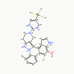 COc1c(F)c2c3cccc(C)c3n3nc4c(c3c2c2cc[nH]c12)CN(c1ncc(C(F)(F)F)cn1)CC4